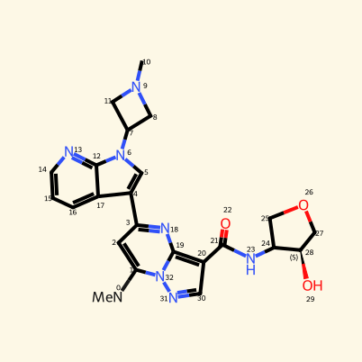 CNc1cc(-c2cn(C3CN(C)C3)c3ncccc23)nc2c(C(=O)NC3COC[C@H]3O)cnn12